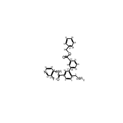 NCc1ccc(C(=O)Nc2ccncc2F)cc1-c1cccc(C(=O)OCc2ccccc2)c1